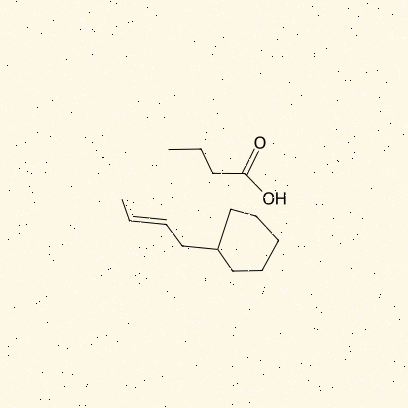 CC=CCC1CCCCC1.CCCC(=O)O